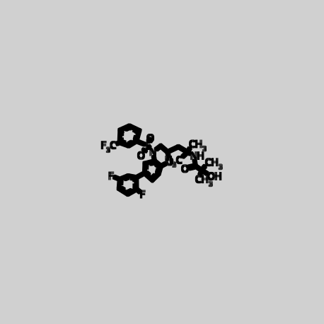 CC(C)(CC1CN(S(=O)(=O)c2cccc(C(F)(F)F)c2)c2cc(-c3cc(F)ccc3F)ccc2O1)NC(=O)C(C)(C)O